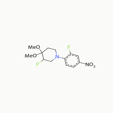 COC1(OC)CCN(c2ccc([N+](=O)[O-])cc2F)CC1F